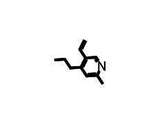 C=Cc1cnc(C)cc1CCC